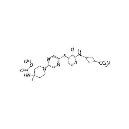 CC1(NC(=O)OC(C)(C)C)CCN(c2cnc(Sc3ccnc(NC4CC(C(=O)O)C4)c3Cl)cn2)CC1